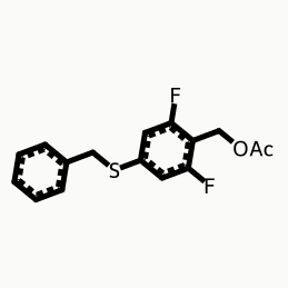 CC(=O)OCc1c(F)cc(SCc2ccccc2)cc1F